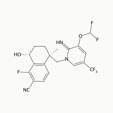 C[C@@]1(Cn2cc(C(F)(F)F)cc(OC(F)F)c2=N)CC[C@@H](O)c2c1ccc(C#N)c2F